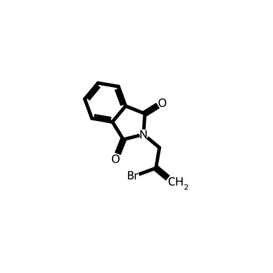 C=C(Br)CN1C(=O)c2ccccc2C1=O